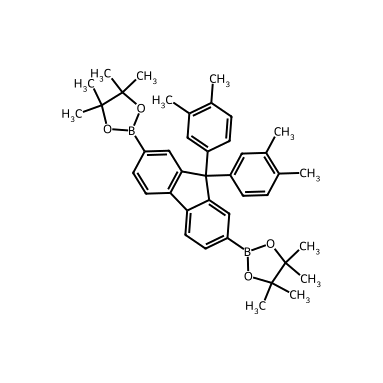 Cc1ccc(C2(c3ccc(C)c(C)c3)c3cc(B4OC(C)(C)C(C)(C)O4)ccc3-c3ccc(B4OC(C)(C)C(C)(C)O4)cc32)cc1C